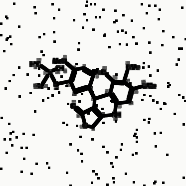 COc1ccc(C2C3=C(COC3=O)Nc3cc(OC)c(OC)c(OC)c32)cc1O[Si](C)(C)C(C)(C)C